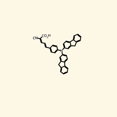 [C-]#[N+]/C(=C/C=C/c1ccc(N(c2ccc3c(c2)Cc2ccccc2-3)c2ccc3c(c2)Cc2ccccc2-3)cc1)C(=O)O